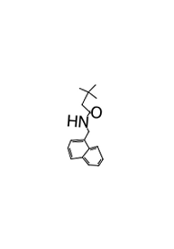 CC(C)(C)CC(=O)NCc1cccc2ccccc12